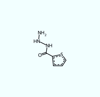 NNNC(=O)c1cccs1